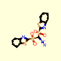 [N-]=[N+]=C(S(=O)(=O)c1nc2ccccc2s1)S(=O)(=O)c1nc2ccccc2s1